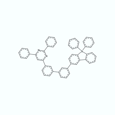 c1ccc(-c2cc(-c3cccc(-c4cccc(-c5ccc6c(c5)-c5ccccc5[Si]6(c5ccccc5)c5ccccc5)c4)c3)nc(-c3ccccc3)n2)cc1